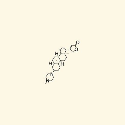 CN1CCN(C2CC[C@@]3(C)[C@H](CC[C@H]4C5=CC[C@H](C6=CC(=O)OC6)[C@@]5(C)CC[C@@H]43)C2)CC1